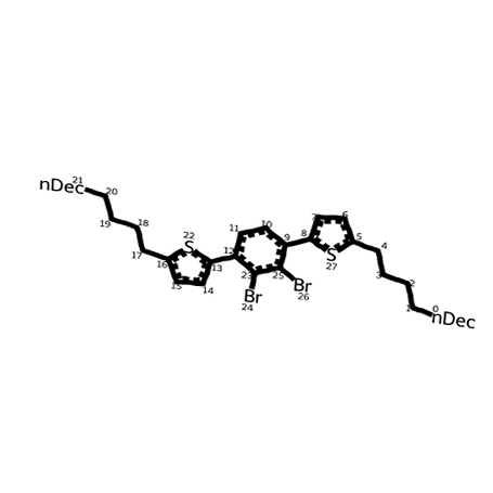 CCCCCCCCCCCCCCc1ccc(-c2ccc(-c3ccc(CCCCCCCCCCCCCC)s3)c(Br)c2Br)s1